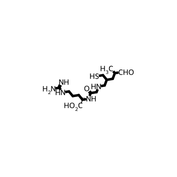 CC(C=O)CC(CS)CNCC(=O)N[C@@H](CCCNC(=N)N)C(=O)O